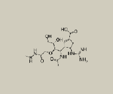 CBNC(=O)CO[C@H]([C@@H](NC(C)=O)[C@@H]1C=C(C(=O)O)C[C@H]1NC(=N)N)[C@@H](O)CO